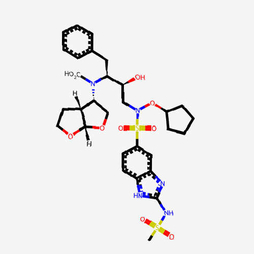 CS(=O)(=O)Nc1nc2cc(S(=O)(=O)N(C[C@H](O)[C@H](Cc3ccccc3)N(C(=O)O)[C@@H]3CO[C@@H]4OCC[C@@H]43)OC3CCCC3)ccc2[nH]1